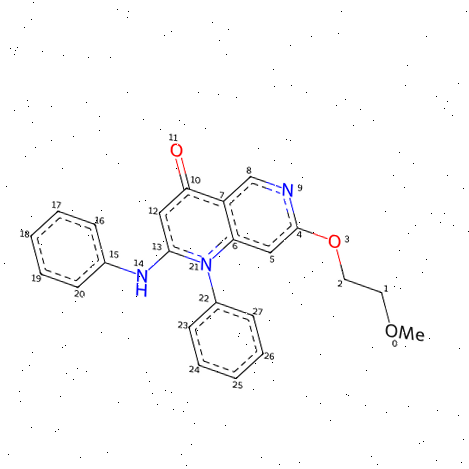 COCCOc1cc2c(cn1)c(=O)cc(Nc1ccccc1)n2-c1ccccc1